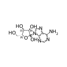 Nc1ncnc2c1ncn2[C@]1(O)O[C@H](CO)[C@@H](O)[C@H]1O